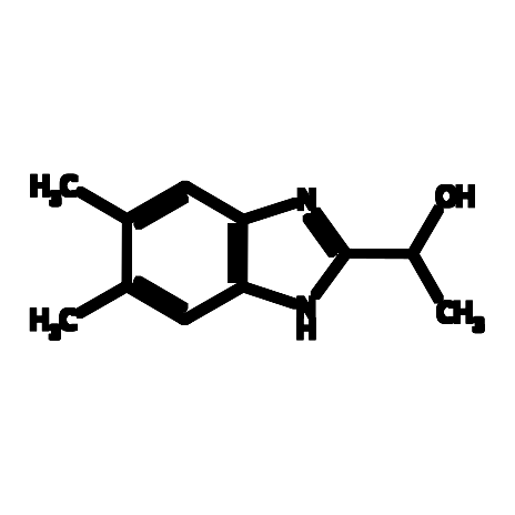 Cc1cc2nc(C(C)O)[nH]c2cc1C